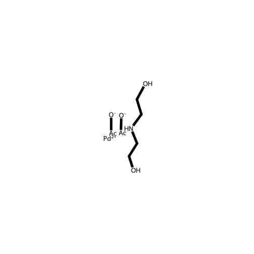 CC(=O)[O-].CC(=O)[O-].OCCNCCO.[Pd+2]